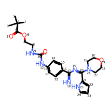 CC(C)(C)C(=O)OCCNC(=O)Nc1ccc(C(=N)/N=C(\c2ccc[nH]2)N2CCOCC2)cc1